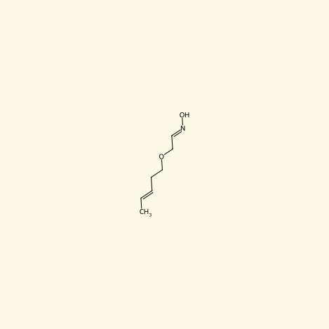 C/C=C/CCOC/C=N/O